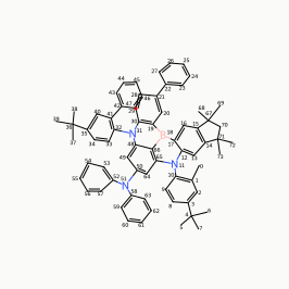 Cc1cc(C(C)(C)C)ccc1N1c2cc3c(cc2B2c4cc(-c5ccccc5)ccc4N(c4ccc(C(C)(C)C)cc4-c4ccccc4)c4cc(N(c5ccccc5)c5ccccc5)cc1c42)C(C)(C)CC3(C)C